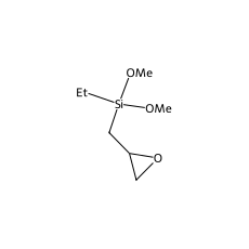 CC[Si](CC1CO1)(OC)OC